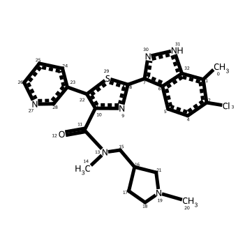 Cc1c(Cl)ccc2c(-c3nc(C(=O)N(C)CC4CCN(C)C4)c(-c4cccnc4)s3)n[nH]c12